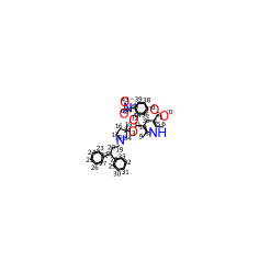 COC(=O)C1=C(C)NC(C)=C(C(=O)OC2(C)CCN(CCC(c3ccccc3)c3ccccc3)C2)[C@@H]1c1cccc([N+](=O)[O-])c1